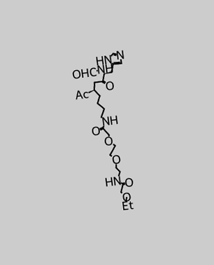 CCOCC(=O)NCCOCCOCC(=O)NCCCC[C@H](CC(=O)[C@H](Cc1cnc[nH]1)NC=O)C(C)=O